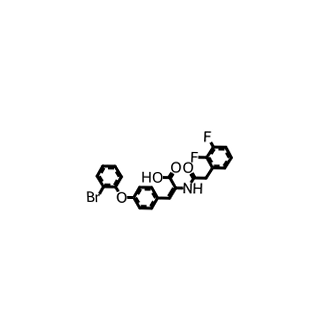 O=C(Cc1cccc(F)c1F)NC(=Cc1ccc(Oc2ccccc2Br)cc1)C(=O)O